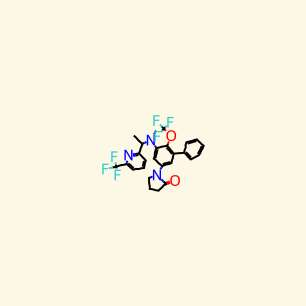 CC(c1cccc(C(F)(F)F)n1)N(C)c1cc(N2CCCC2=O)cc(-c2ccccc2)c1OC(F)(F)F